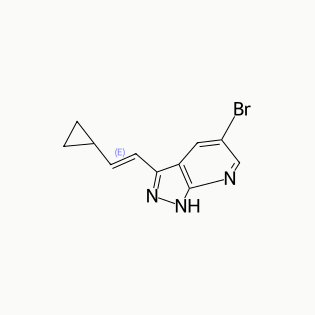 Brc1cnc2[nH]nc(/C=C/C3CC3)c2c1